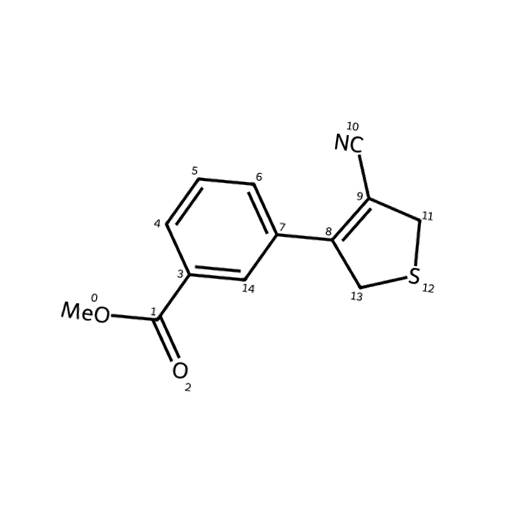 COC(=O)c1cccc(C2=C(C#N)CSC2)c1